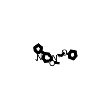 Cc1oc2cc3c(cc2[n+]1CCOc1ccccc1)c1ccccc1n3C